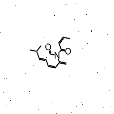 C=C(/C=C\C=C\C(C)C)N(C=O)C(=O)/C=C\C